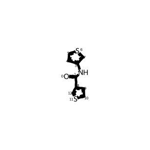 O=C(Nc1ccsc1)c1ccsc1